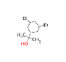 CCC1CC(CC)CC(C(C)(C)O)C1